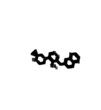 Nc1c(N2CCNC3(CC3)C2)cnnc1Cc1ccc2nccnc2c1